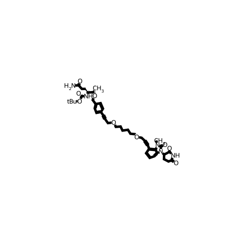 C[C@@H](OCc1ccc(C#CCOCCCCCCOCC#Cc2cccc3c2n(C)c(=O)n3C2CCC(=O)NC2=O)cc1)[C@H](CCC(N)=O)NC(=O)OC(C)(C)C